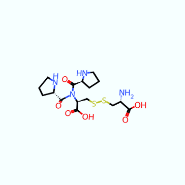 N[C@@H](CSSC[C@@H](C(=O)O)N(C(=O)[C@@H]1CCCN1)C(=O)[C@@H]1CCCN1)C(=O)O